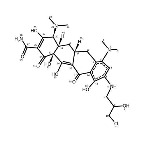 CN(C)c1cc(NCC(O)CCl)c(O)c2c1C[C@H]1C[C@H]3[C@H](N(C)C)C(O)=C(C(N)=O)C(=O)[C@@]3(O)C(O)=C1C2=O